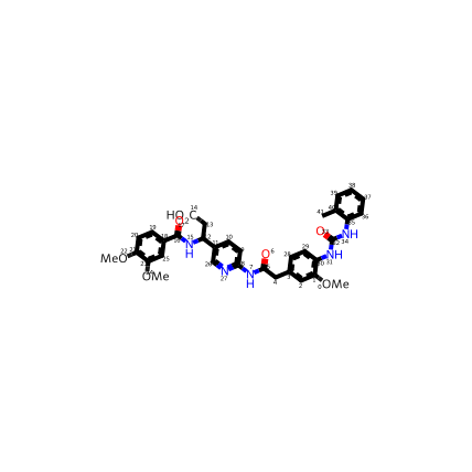 COc1cc(CC(=O)Nc2ccc(C(CC(=O)O)NC(=O)c3ccc(OC)c(OC)c3)cn2)ccc1NC(=O)Nc1ccccc1C